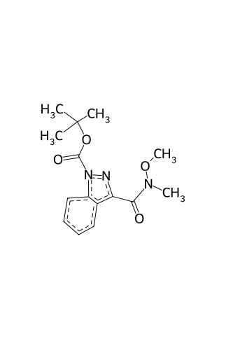 CON(C)C(=O)c1nn(C(=O)OC(C)(C)C)c2ccccc12